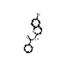 O=C(Nc1ccc2cc(Br)ccc2n1)c1ccccc1